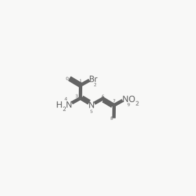 C=C(Br)/C(N)=N\C=C(/C)[N+](=O)[O-]